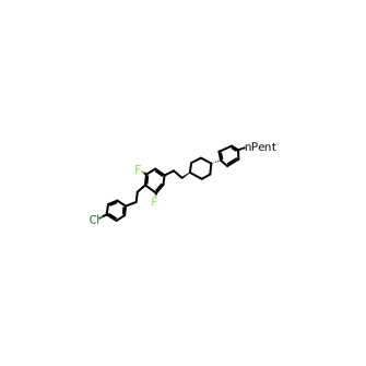 CCCCCc1ccc([C@H]2CC[C@H](CCc3cc(F)c(CCc4ccc(Cl)cc4)c(F)c3)CC2)cc1